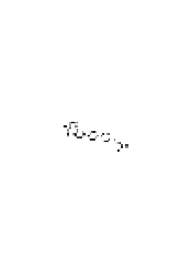 Fc1cc([C@H]2CC[C@H]([C@H]3CC[C@H](C=CCC(F)F)CC3)CC2)ccc1OC(F)F